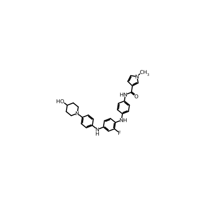 Cn1ccc(C(=O)Nc2ccc(Nc3ccc(Nc4ccc(N5CCC(O)CC5)cc4)cc3F)cc2)c1